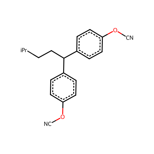 CC(C)CCC(c1ccc(OC#N)cc1)c1ccc(OC#N)cc1